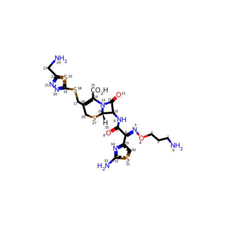 NCCCON=C(C(=O)NC1C(=O)N2C(C(=O)O)=C(CSc3nnc(CN)s3)CS[C@@H]12)c1csc(N)n1